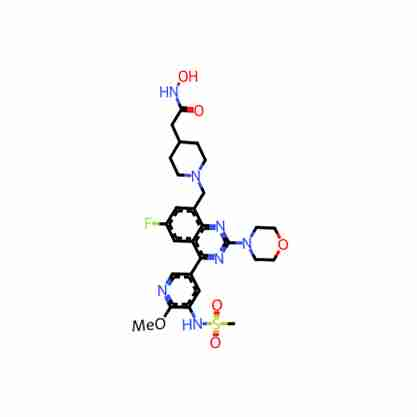 COc1ncc(-c2nc(N3CCOCC3)nc3c(CN4CCC(CC(=O)NO)CC4)cc(F)cc23)cc1NS(C)(=O)=O